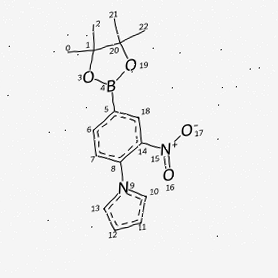 CC1(C)OB(c2ccc(-n3cccc3)c([N+](=O)[O-])c2)OC1(C)C